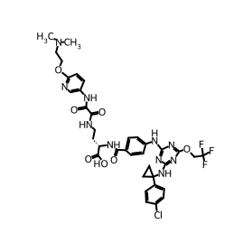 CN(C)CCOc1ccc(NC(=O)C(=O)NCC[C@H](NC(=O)c2ccc(Nc3nc(NC4(c5ccc(Cl)cc5)CC4)nc(OCC(F)(F)F)n3)cc2)C(=O)O)cn1